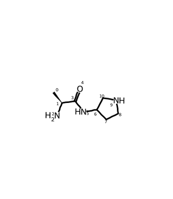 C[C@H](N)C(=O)NC1CCNC1